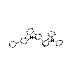 c1ccc(-c2ccc3c(c2)c2cccc4c5ccc(-c6cccc7c6c6ccccc6n7-c6ccccc6)cc5n3c24)cc1